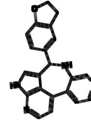 c1ccc2c(c1)NC(c1ccc3c(c1)CCO3)c1c[nH]c3nccc-2c13